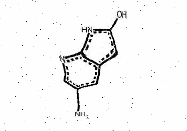 Nc1cnc2[nH]c(O)cc2c1